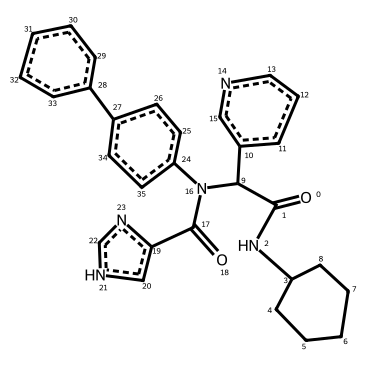 O=C(NC1CCCCC1)C(c1cccnc1)N(C(=O)c1c[nH]cn1)c1ccc(-c2ccccc2)cc1